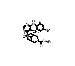 [C-]#[N+]c1ccc(Nc2ncnc(OC3C4CN(C(=O)OC(C)(C)C)CC3CS(=O)(=O)C4)c2C)c(Cl)c1